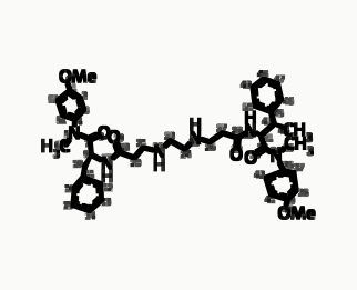 COc1ccc(N(C)C(=O)[C@H](Cc2ccccc2)NC(=O)CCNCCNCCC(=O)N[C@H](C(=O)N(C)c2ccc(OC)cc2)[C@H](C)c2ccccc2)cc1